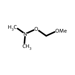 COCON(C)C